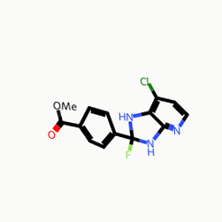 COC(=O)c1ccc(C2(F)Nc3nccc(Cl)c3N2)cc1